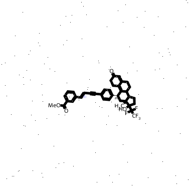 COC(=O)c1cccc(/C=C/C#Cc2ccc([C@H]3CC4(C)C(CCC4(O)C(F)(F)C(F)(F)F)C4CCC5=CC(=O)CCC5=C43)cc2)c1